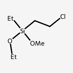 CCO[Si](CC)(CCCl)OC